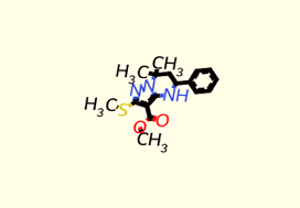 COC(=O)c1c(SC)nn2c1NC(c1ccccc1)CC2(C)C